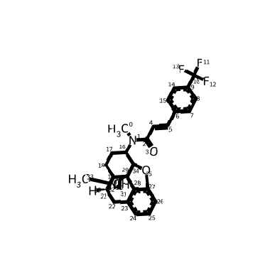 CN(C(=O)/C=C/c1ccc(C(F)(F)F)cc1)C1CC[C@@]2(O)[C@H]3Cc4cccc5c4[C@@]2(CCN3C)C1O5